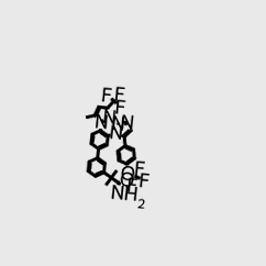 Cc1cc(C(F)(F)F)nn1-c1ccc(-c2cccc(C(C)(C)C(N)=O)c2)cc1-n1nncc1-c1ccc(OC(F)(F)F)cc1